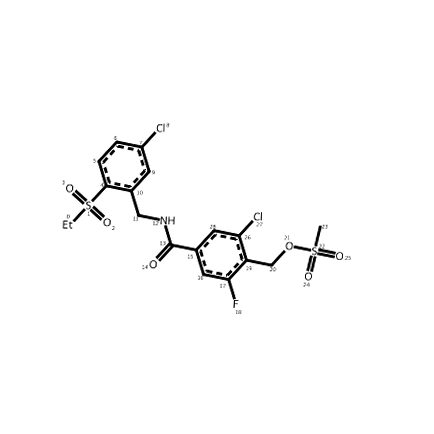 CCS(=O)(=O)c1ccc(Cl)cc1CNC(=O)c1cc(F)c(COS(C)(=O)=O)c(Cl)c1